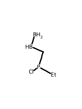 BBCP(Cl)CC